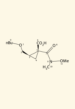 CCCCOC[C@@H]1C[C@@]1(C(=O)O)C(=O)N(C)OC